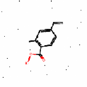 C=Cc1ccc(C(=O)OO)c(C)c1